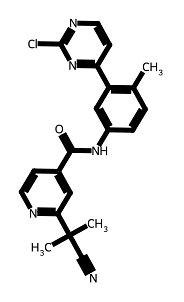 Cc1ccc(NC(=O)c2ccnc(C(C)(C)C#N)c2)cc1-c1ccnc(Cl)n1